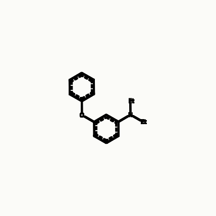 CCN(CC)c1cccc(Oc2ccccc2)c1